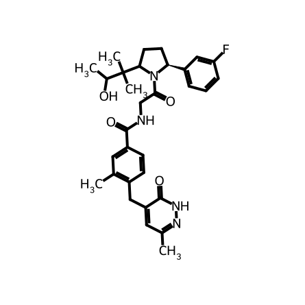 Cc1cc(Cc2ccc(C(=O)NCC(=O)N3C(C(C)(C)C(C)O)CC[C@H]3c3cccc(F)c3)cc2C)c(=O)[nH]n1